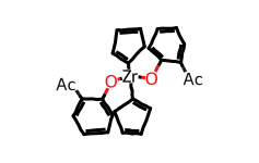 CC(=O)c1ccccc1[O][Zr]([O]c1ccccc1C(C)=O)([C]1=CC=CC1)[C]1=CC=CC1